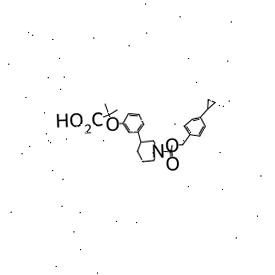 CC(C)(Oc1cccc(C2CCCN(C(=O)OCc3ccc(C4CC4)cc3)C2)c1)C(=O)O